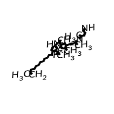 C=C(C)CCCCCCCCCCc1ccc(NC(=C)c2ccc(C)c(C#C/C(C)=C/N=C(C)/C=C\C=N)c2)cc1C(C)(F)F